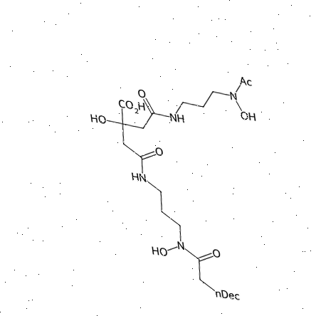 CCCCCCCCCCCC(=O)N(O)CCCNC(=O)CC(O)(CC(=O)NCCCN(O)C(C)=O)C(=O)O